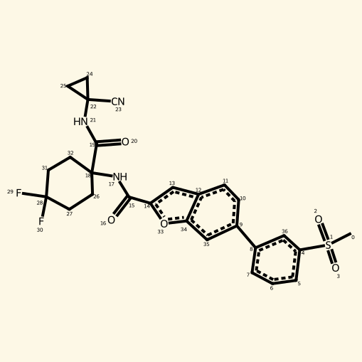 CS(=O)(=O)c1cccc(-c2ccc3cc(C(=O)NC4(C(=O)NC5(C#N)CC5)CCC(F)(F)CC4)oc3c2)c1